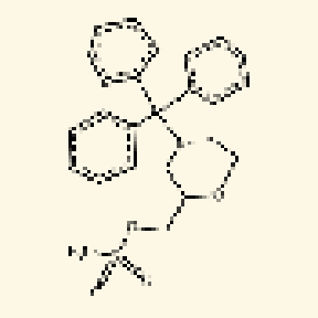 O=S(=O)(OCC1CN(C(c2ccccc2)(c2ccccc2)c2ccccc2)CCO1)C(F)(F)F